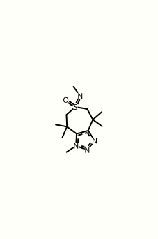 CN=S1(=O)CC(C)(C)c2nnn(C)c2C(C)(C)C1